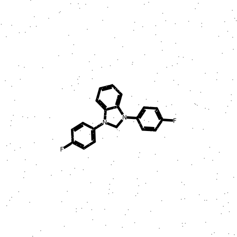 Fc1ccc(N2CN(c3ccc(F)cc3)c3ccccc32)cc1